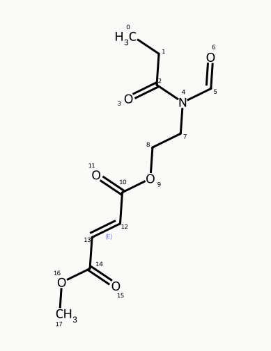 CCC(=O)N(C=O)CCOC(=O)/C=C/C(=O)OC